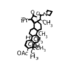 CC(=O)O[C@H]1CCC2(C)[C@H]3CCC4C5=C(C(C)C)C(=O)C[C@]5([C@@H](C)C(=O)N5CCC5)CC[C@@]4(C)[C@]3(C)CC[C@H]2C1(C)C